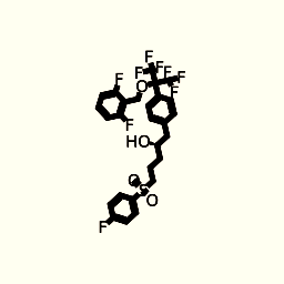 O=S(=O)(CCC[C@@H](O)Cc1ccc(C(OCc2c(F)cccc2F)(C(F)(F)F)C(F)(F)F)cc1)c1ccc(F)cc1